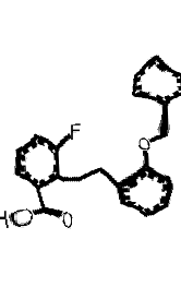 O=C(O)c1cccc(F)c1CCc1ccccc1OCc1ccccc1